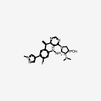 C=C(c1cc(N2C[C@@H](O)[C@H](N(C)C)C2)ncn1)c1cc(-c2cnn(C)c2)c(F)cc1NN